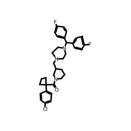 O=C(N1CCCC(CN2CCN(C(c3ccc(F)cc3)c3ccc(F)cc3)CC2)C1)C1(c2ccc(Cl)cc2)CCC1